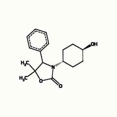 CC1(C)OC(=O)N([C@H]2CC[C@H](O)CC2)C1c1ccccc1